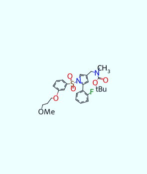 COCCCOc1cccc(S(=O)(=O)n2cc(CN(C)C(=O)OC(C)(C)C)cc2-c2ccccc2F)c1